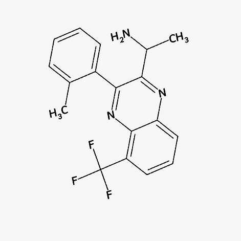 Cc1ccccc1-c1nc2c(C(F)(F)F)cccc2nc1C(C)N